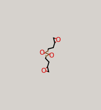 O=S(=O)(CCC1CO1)CCC1CO1